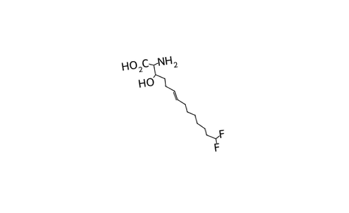 NC(C(=O)O)C(O)CC/C=C/CCCCCCC(F)F